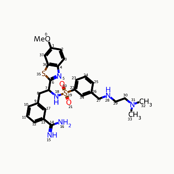 COc1ccc2nc(C(Cc3cccc(C(=N)N)c3)NS(=O)(=O)c3cccc(CNCCN(C)C)c3)sc2c1